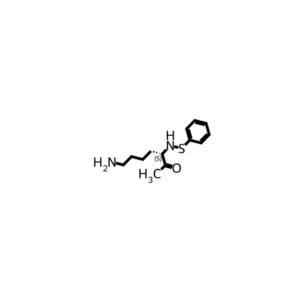 CC(=O)[C@H](CCCCN)NSc1ccccc1